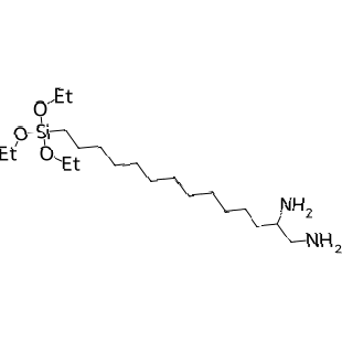 CCO[Si](CCCCCCCCCCCCC(N)CN)(OCC)OCC